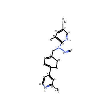 C=NN(CC1=CC=C(c2ccnc(C#N)c2)CC1)c1ncc(C#N)cc1C